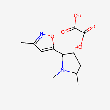 Cc1cc(C2CCC(C)N2C)on1.O=C(O)C(=O)O